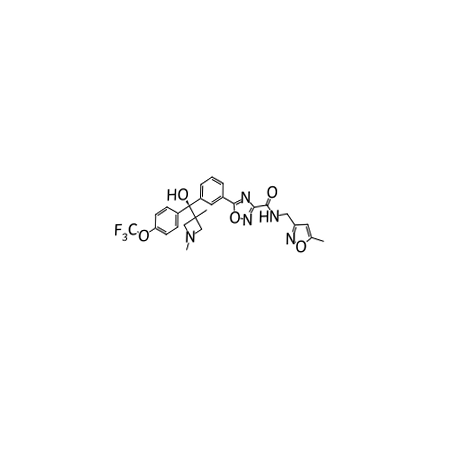 Cc1cc(CNC(=O)c2noc(-c3cccc([C@@](O)(c4ccc(OC(F)(F)F)cc4)C4(C)CN(C)C4)c3)n2)no1